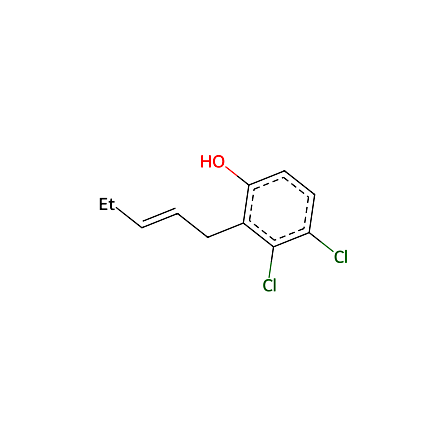 CCC=CCc1c(O)ccc(Cl)c1Cl